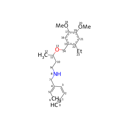 C#C/C=C\C(=C/C)CNCCC(C)OCc1cc(OC)c(OC)cc1CC